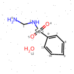 NCN[Se](=O)(=O)c1ccccc1.O